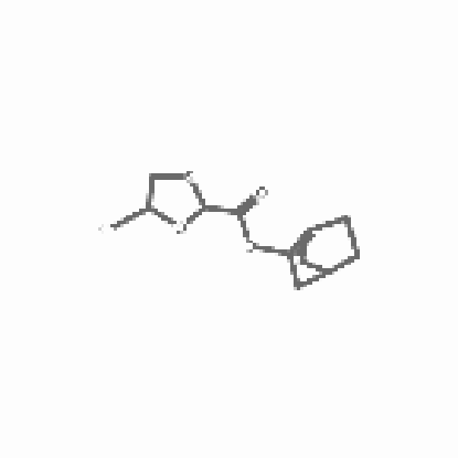 O=C(OC1=C2CCC(C2)C1)C1OC(Cl)CS1